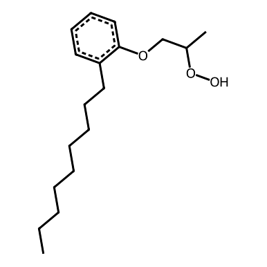 CCCCCCCCCc1ccccc1OCC(C)OO